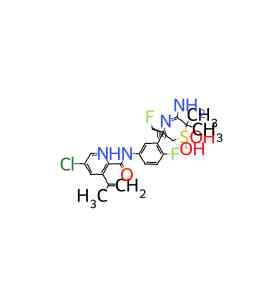 C=C(C)c1cc(Cl)cnc1C(=O)Nc1ccc(F)c([C@@]2(CF)CS(O)(O)C(C)(C)C(N)=N2)c1